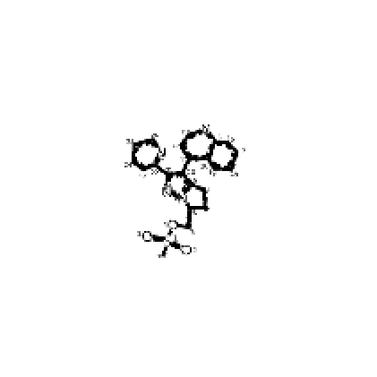 CS(=O)(=O)OCC1CCc2c(-c3ccnc4ccccc34)c(-c3ccccn3)nn21